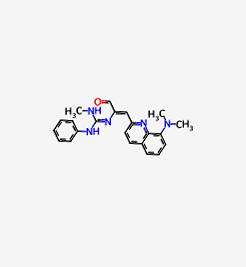 CN/C(=N\C(C=O)=C/c1ccc2cccc(N(C)C)c2n1)Nc1ccccc1